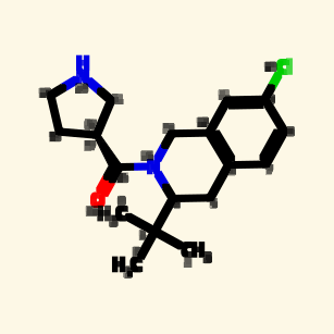 CC(C)(C)C1Cc2ccc(Cl)cc2CN1C(=O)[C@H]1CCNC1